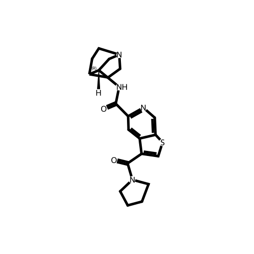 O=C(N[C@H]1CN2CCC1CC2)c1cc2c(C(=O)N3CCCC3)csc2cn1